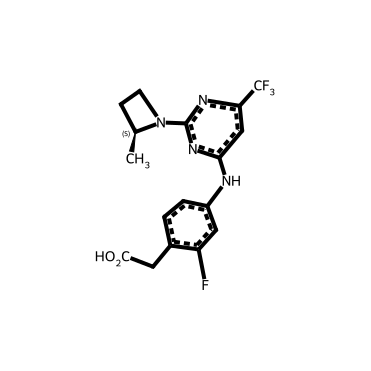 C[C@H]1CCN1c1nc(Nc2ccc(CC(=O)O)c(F)c2)cc(C(F)(F)F)n1